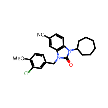 COc1ccc(Cn2c(=O)n(C3CCCCCC3)c3ccc(C#N)cc32)cc1Cl